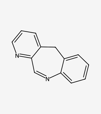 C1=Nc2ccccc2Cc2cccnc21